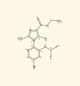 CCOC(=O)c1nc(C)n(-c2ncc(Br)cc2OC(F)F)c1Cl